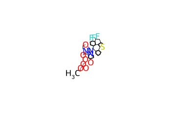 CCOC(=O)OCOc1c2n(ccc1=O)N(C1c3ccccc3-c3scc4c3-c3c1ccc(F)c3C(F)(F)C4)C1COCCN1C2=O